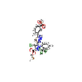 CSCOC(=O)c1nn(-c2ccccc2C(F)(F)F)c(-c2nnc(-c3cccc(S(C)(=O)=O)c3)s2)c1Br